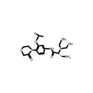 CC(C)(C)CN(CC(C)(C)C)[C@H](CN)C(=O)Nc1ccc(N2CCOCC2=O)c(OC(F)F)c1